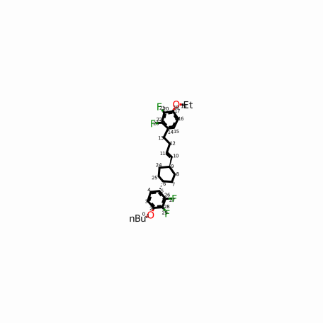 CCCCOc1ccc([C@H]2CC[C@H](/C=C/CCc3ccc(OCC)c(F)c3F)CC2)c(F)c1F